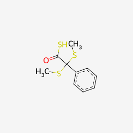 CSC(SC)(C(=O)S)c1ccccc1